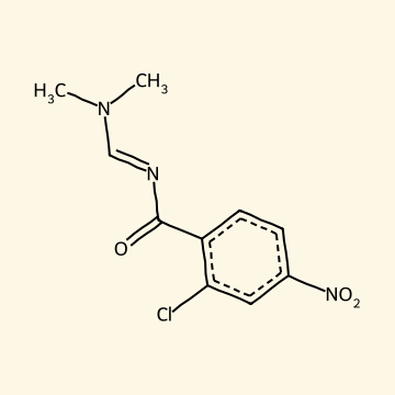 CN(C)C=NC(=O)c1ccc([N+](=O)[O-])cc1Cl